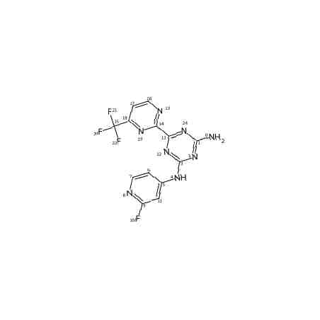 Nc1nc(Nc2ccnc(F)c2)nc(-c2nccc(C(F)(F)F)n2)n1